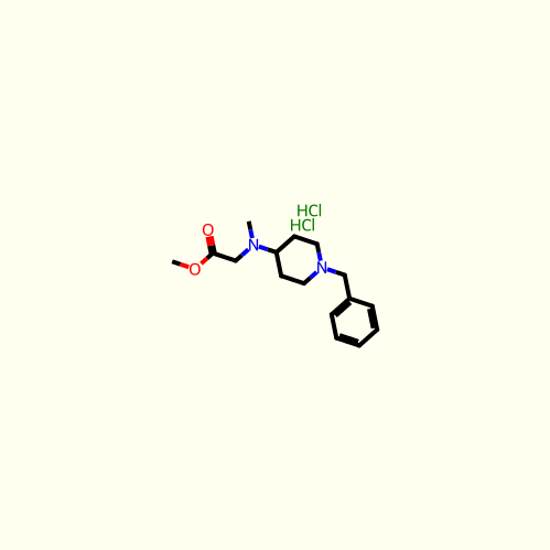 COC(=O)CN(C)C1CCN(Cc2ccccc2)CC1.Cl.Cl